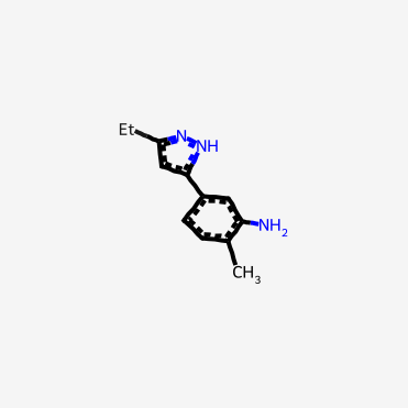 CCc1cc(-c2ccc(C)c(N)c2)[nH]n1